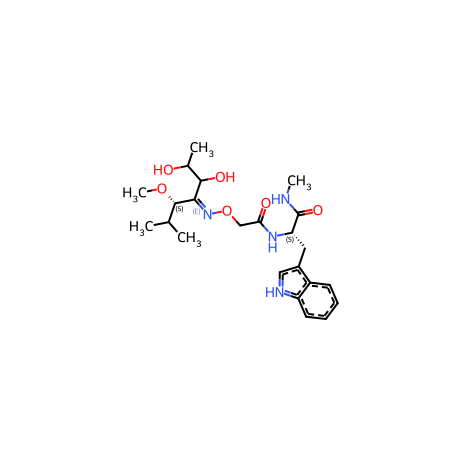 CNC(=O)[C@H](Cc1c[nH]c2ccccc12)NC(=O)CO/N=C(\C(O)C(C)O)[C@@H](OC)C(C)C